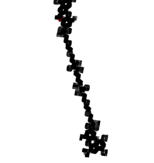 CN(C)[C@H]1Cc2c(Cl)cc(Cl)cc2[C@@H]1Oc1c(F)cc(S(=O)(=O)NCCOCCOCCNC(=O)NCCCCNC(=O)NCCOCCOCCNS(=O)(=O)c2cc(F)c(O[C@H]3c4cc(Cl)cc(Cl)c4C[C@@H]3N(C)C)c(F)c2)cc1F